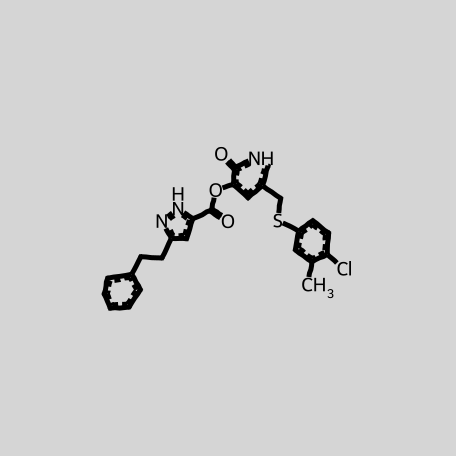 Cc1cc(SCc2c[nH]c(=O)c(OC(=O)c3cc(CCc4ccccc4)n[nH]3)c2)ccc1Cl